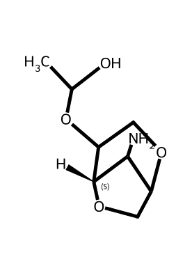 CC(O)OC1COC2CO[C@H]1C2N